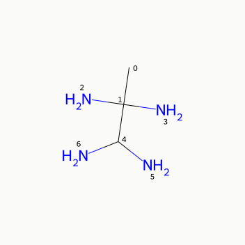 CC(N)(N)C(N)N